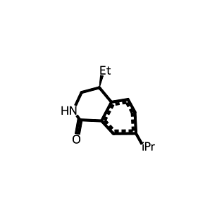 CC[C@@H]1CNC(=O)c2cc(C(C)C)ccc21